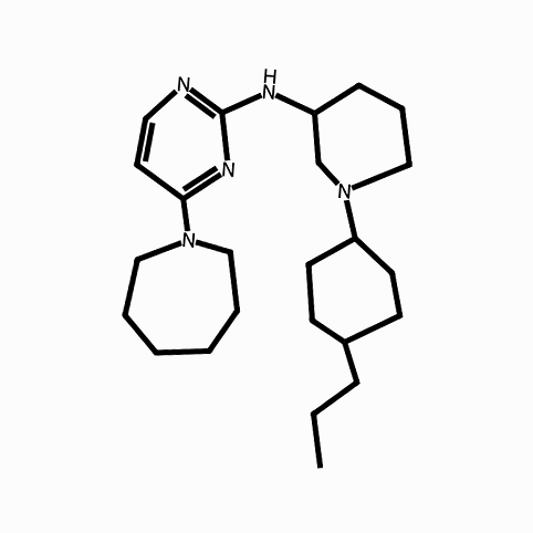 CCCC1CCC(N2CCCC(Nc3nccc(N4CCCCCC4)n3)C2)CC1